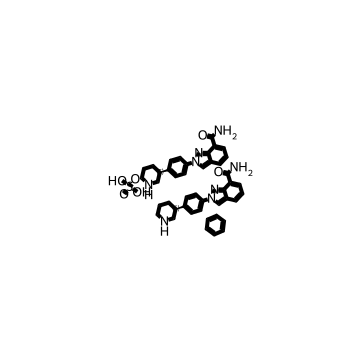 NC(=O)c1cccc2cn(-c3ccc([C@@H]4CCCNC4)cc3)nc12.NC(=O)c1cccc2cn(-c3ccc([C@@H]4CCCNC4)cc3)nc12.O=S(=O)(O)O.c1ccccc1